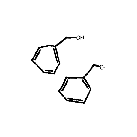 OCc1ccccc1.[O]Cc1ccccc1